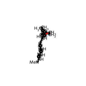 CNCCNc1ccc2nc(-c3ccc4[nH]c(-c5ccc(OCCCCNC(O)c6cccc7c6C(=O)OC76c7ccc(N(C)C)cc7Oc7cc(N(C)C)ccc76)cc5)nc4c3)[nH]c2c1